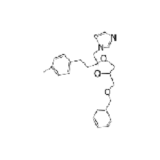 Cc1ccc(CCC2(Cn3ccnc3)OCC(COCc3ccccc3)O2)cc1